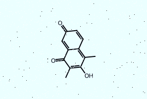 CC1=C(O)C(C)=C2C=CC(=O)C=C2C1=O